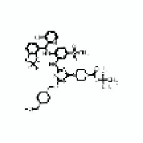 CC(C)(C)OC(=O)N1CCN(c2nc(Nc3cc(S(C)(=O)=O)ccc3N[C@@H](c3cccc4c3OC(F)(F)O4)c3ncccc3Cl)nc(OC[C@H]3CC[C@H](CO)CC3)n2)CC1